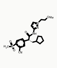 COCCn1ccc(NC(=O)[C@H](CC2CCCC2)c2ccc(S(C)(=O)=O)c(C#N)c2)n1